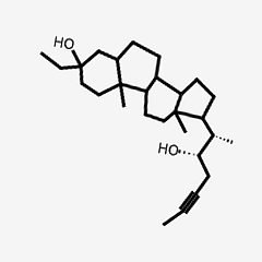 CC#CC[C@H](O)[C@@H](C)C1CCC2C3CCC4CC(O)(CC)CCC4(C)C3CCC21C